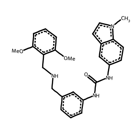 COc1cccc(OC)c1CNCc1cccc(NC(=O)Nc2ccc3c(ccn3C)c2)c1